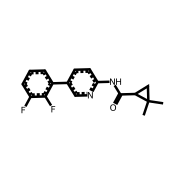 CC1(C)CC1C(=O)Nc1ccc(-c2cccc(F)c2F)cn1